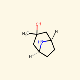 CC1(O)C[C@H]2CC[C@@H](C1)N2